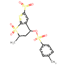 Cc1ccc(S(=O)(=O)OC2CC(C)S(=O)(=O)c3sc([SH](=O)=O)cc32)cc1